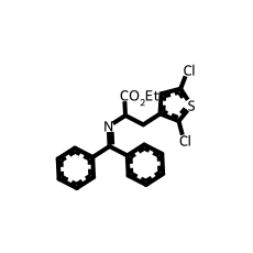 CCOC(=O)C(Cc1cc(Cl)sc1Cl)N=C(c1ccccc1)c1ccccc1